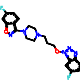 Fc1ccc2c(N3CCN(CCCOn4nnc5ccc(F)cc54)CC3)noc2c1